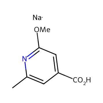 COc1cc(C(=O)O)cc(C)n1.[Na]